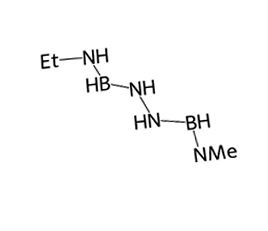 CCNBNNBNC